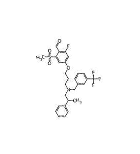 CC(CN(CCCOc1cc(F)c(C=O)c(S(C)(=O)=O)c1)Cc1cccc(C(F)(F)F)c1)c1ccccc1